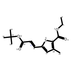 CCOC(=O)c1sc(/C=C/C(=O)OC(C)(C)C)cc1C